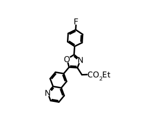 CCOC(=O)Cc1nc(-c2ccc(F)cc2)oc1-c1ccc2ncccc2c1